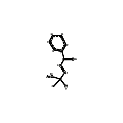 CCC(C)(N=NC(=O)c1ccccc1)OC(C)=O